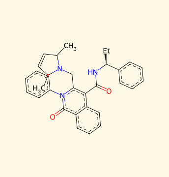 CC[C@H](NC(=O)c1c(CN2C(C)C=CC2C)n(-c2ccccc2)c(=O)c2ccccc12)c1ccccc1